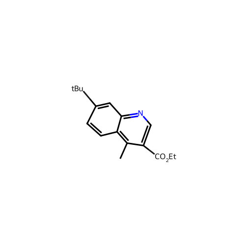 CCOC(=O)c1cnc2cc(C(C)(C)C)ccc2c1C